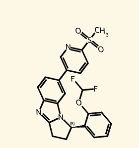 CS(=O)(=O)c1ccc(-c2ccc3nc4n(c3c2)[C@@H](c2ccccc2OC(F)F)CC4)cn1